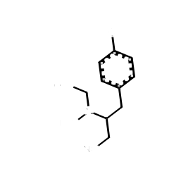 CN(CC(=O)O)C(CC#N)Cc1ccc(O)cc1